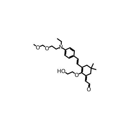 CCN(CCOCOC)c1ccc(/C=C/C2=C(OCCO)C(=C/C=O)/CC(C)(C)C2)cc1